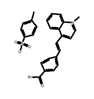 CC(C)C(=O)c1ccc(/C=C/c2cc[n+](C)c3ccccc23)cc1.Cc1ccc(S(=O)(=O)[O-])cc1